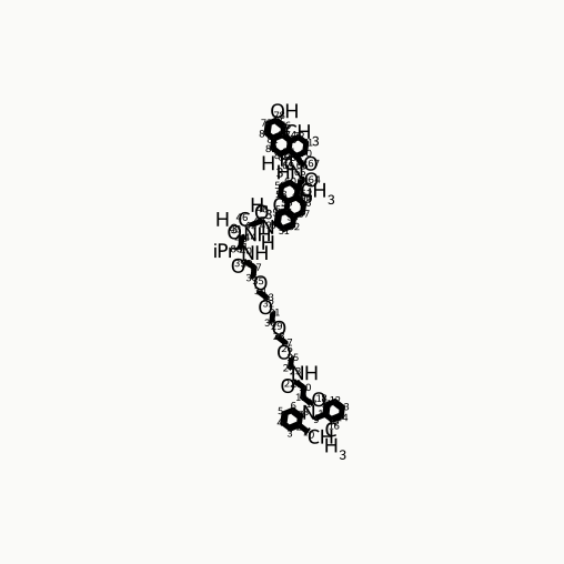 C#Cc1ccccc1N(Cc1ccccc1C)C(=O)CCC(=O)NCCOCCOCCOCCOCCC(=O)N[C@H](C(=O)N[C@@H](C)C(=O)Nc1ccc2c(c1)[C@@]1(C)CCC[C@](C)(C(=O)NC(=O)[C@@]3(C)CCC[C@]4(C)c5cc(O)ccc5CC[C@@H]34)[C@@H]1CC2)C(C)C